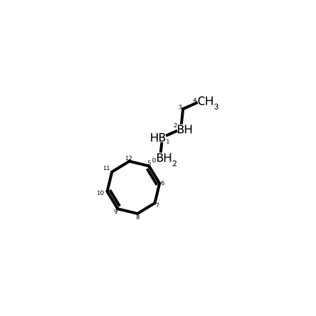 BBBCC.C1=CCCC=CCC1